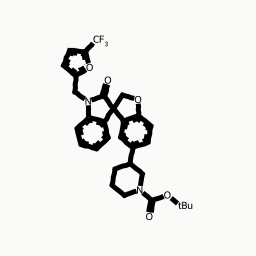 CC(C)(C)OC(=O)N1CCCC(c2ccc3c(c2)C2(CO3)C(=O)N(Cc3ccc(C(F)(F)F)o3)c3ccccc32)C1